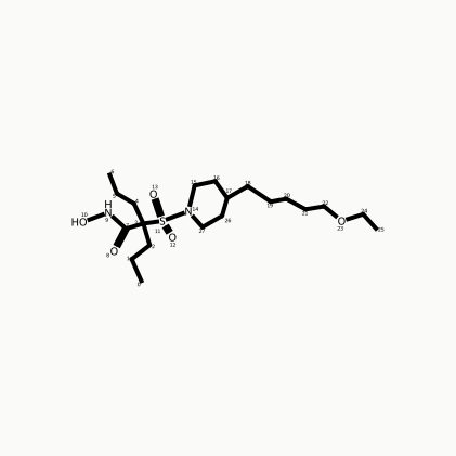 CCCC(CCC)(C(=O)NO)S(=O)(=O)N1CCC(CCCCCOCC)CC1